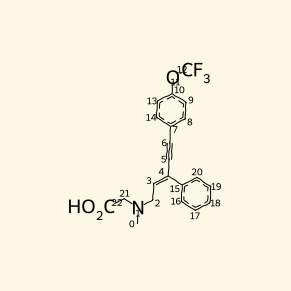 CN(C/C=C(/C#Cc1ccc(OC(F)(F)F)cc1)c1ccccc1)CC(=O)O